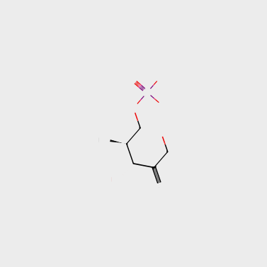 C=C(CO)[C@H](O)[C@@H](C)COP(=O)(O)O